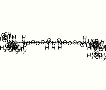 CC(C)(C)OC(=O)CC[C@H](NC(=O)N[C@@H](CCCCNC(=O)COCCOCCOCCOCCNC(=O)CCNCCC(=O)NCCOCCOCCOCCOCC(=O)NCCCC[C@H](NC(=O)N[C@@H](CCC(=O)OC(C)(C)C)C(=O)OC(C)(C)C)C(=O)OC(C)(C)C)C(=O)OC(C)(C)C)C(=O)OC(C)(C)C